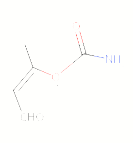 CC(=CC=O)OC(N)=O